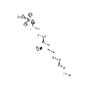 CCCCCCCCCCCCCCOS(=O)(=O)O.[Na]